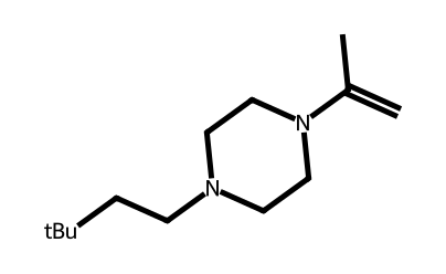 C=C(C)N1CCN(CCC(C)(C)C)CC1